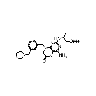 COCC(C)Nc1nc(N)c2c(n1)N(Cc1cccc(CN3CCCC3)c1)CC(=O)N2